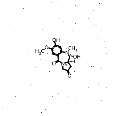 COc1cc2c(cc1O)N(C)[C@@H](O)[C@@H]1CC(=O)CN1C2=O